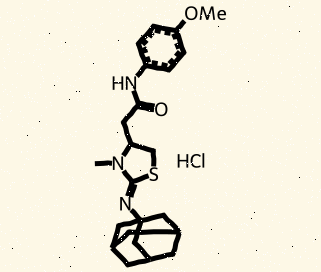 COc1ccc(NC(=O)CC2CS/C(=N\C34CC5CC(CC(C5)C3)C4)N2C)cc1.Cl